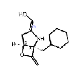 C=C1O[C@H]2C/C(=C\O)N[C@@]12CC1CCCCC1